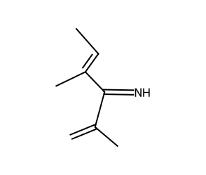 C=C(C)C(=N)/C(C)=C/C